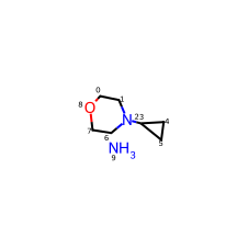 C1CN(C2CC2)CCO1.N